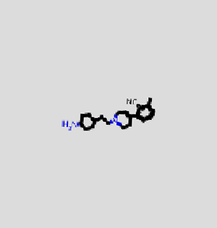 Cc1cccc(C2=CCN(CCC3CCC(N)CC3)CC2)c1C#N